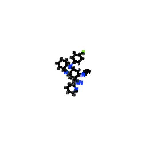 CC(C)/N=c1\cc2n(-c3ccc(F)cc3)c3ccccc3nc-2cc1Nc1ccccn1